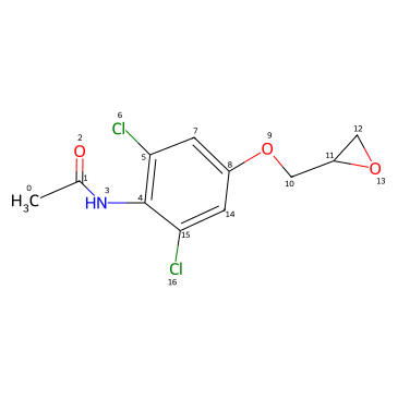 CC(=O)Nc1c(Cl)cc(OCC2CO2)cc1Cl